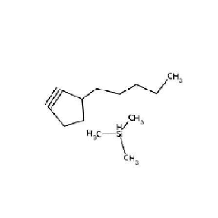 CCCCCC1C#CCC1.C[SiH](C)C